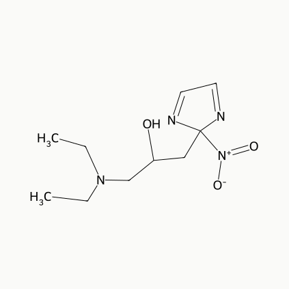 CCN(CC)CC(O)CC1([N+](=O)[O-])N=CC=N1